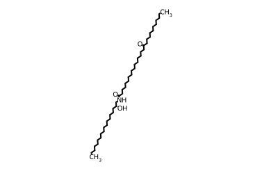 CCCCCCCCCCCCCCCC[C@@H](O)CNC(=O)CCCCCCCCCCCCCCCC(=O)CCCCCCCCCCC